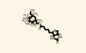 CC1(O)[C@@](C)(COC(=O)CCCCC2SC[C@@H]3NC(=O)N[C@H]23)CC(C)(CO)[C@@](C)(O)[C@@]1(C)O